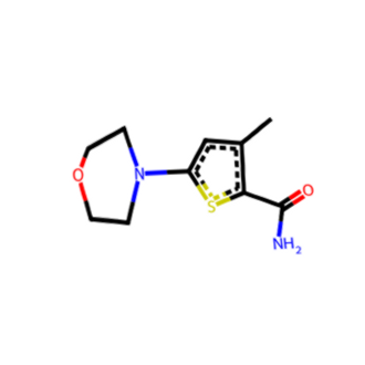 Cc1cc(N2CCOCC2)sc1C(N)=O